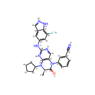 C[C@@H]1C(=O)N(c2cccc(C#N)c2)c2cnc(Nc3cc(F)c4[nH]ncc4c3)nc2N1C1CCCC1